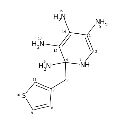 NC1=CNC(N)(Cc2ccsc2)C(N)=C1N